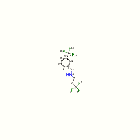 FC(F)(F)CCNCc1cccc(C(F)(F)F)c1